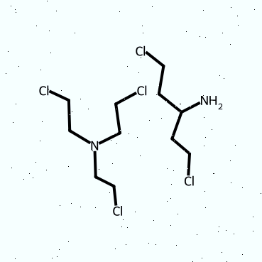 ClCCN(CCCl)CCCl.NC(CCCl)CCCl